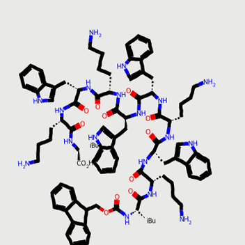 CC[C@H](C)[C@H](NC(=O)[C@H](CCCCN)NC(=O)[C@H](Cc1c[nH]c2ccccc12)NC(=O)[C@H](CCCCN)NC(=O)[C@H](Cc1c[nH]c2ccccc12)NC(=O)[C@H](Cc1c[nH]c2ccccc12)NC(=O)[C@H](CCCCN)NC(=O)[C@H](Cc1c[nH]c2ccccc12)NC(=O)[C@H](CCCCN)NC(=O)[C@@H](NC(=O)OCC1c2ccccc2-c2ccccc21)[C@@H](C)CC)C(=O)O